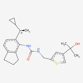 C[C@@H](c1ccc2c(c1NC(=O)NCc1cc(C(C)(C)O)cs1)CCC2)C1CC1